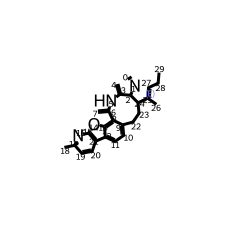 C=NC1C(=C)NC(=C)c2c(ccc3c2oc2nc(C)ccc23)CCC1/C(C)=C/CC